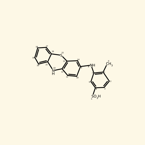 Cc1ccc(S(=O)(=O)O)cc1Nc1ccc2c(c1)Sc1ccccc1N2